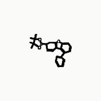 CC1(C)OB(C2C=Cc3c(oc4cccc(-c5ccccc5)c34)C2)OC1(C)C